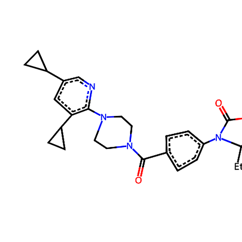 CCC1COC(=O)N1c1ccc(C(=O)N2CCN(c3ncc(C4CC4)cc3C3CC3)CC2)cc1